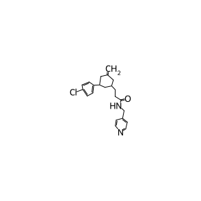 C=C1CC(CCC(=O)NCc2ccncc2)CC(c2ccc(Cl)cc2)C1